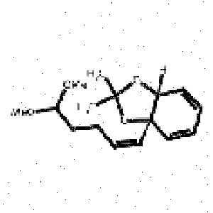 COC(CC/C=C\[C@]12C=CC=C[C@H]1OC(C)(C)O2)OC